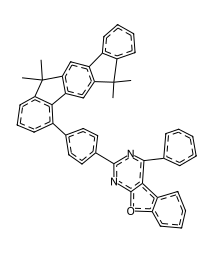 CC1(C)c2ccccc2-c2cc3c(cc21)-c1c(-c2ccc(-c4nc(-c5ccccc5)c5c(n4)oc4ccccc45)cc2)cccc1C3(C)C